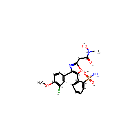 COc1ccc(-c2nc(CC(=O)N(C)O)oc2-c2ccccc2S(N)(=O)=O)cc1Cl